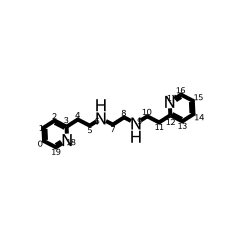 c1ccc(CCNCCNCCc2ccccn2)nc1